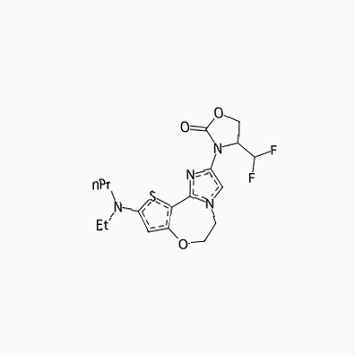 CCCN(CC)c1cc2c(s1)-c1nc(N3C(=O)OCC3C(F)F)cn1CCO2